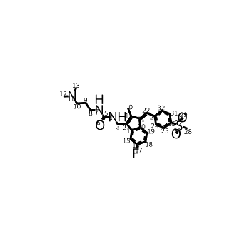 CC1=C(CNC(=O)NCCCN(C)C)c2cc(F)ccc2/C1=C\c1ccc(S(C)(=O)=O)cc1